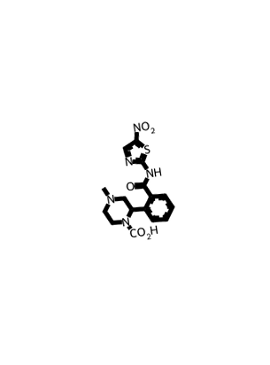 CN1CCN(C(=O)O)C(c2ccccc2C(=O)Nc2ncc([N+](=O)[O-])s2)C1